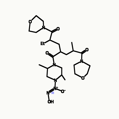 CCC(CC(CC(C)C(=O)N1CCOCC1)C(=O)N1CC(C)N(/[N+]([O-])=N/O)CC1C)C(=O)N1CCOCC1